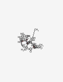 CCCCCCCCNC(=O)NC(=O)C[C@@H]1NC(=O)[C@H](NC(=O)[C@@H](CC(C)C)NC)[C@H](O)c2ccc(c(Cl)c2)Oc2cc3cc(c2OC)Oc2ccc(cc2Cl)[C@@H](O)[C@@H]2NC(=O)[C@H](NC(=O)[C@@H]3NC1=O)c1ccc(O)c(c1)-c1c(O)cc(O)cc1[C@@H](C(=O)O)NC2=O